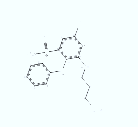 NS(=O)(=O)c1cc(C(=O)O)cc(NCCCC(=O)O)c1Oc1ccccc1